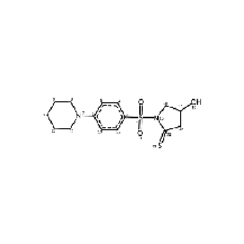 O=S(=O)(c1ccc(N2CCCCC2)cc1)N1CC(O)CC1=S